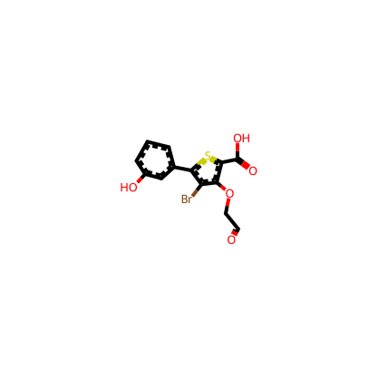 O=CCOc1c(C(=O)O)sc(-c2cccc(O)c2)c1Br